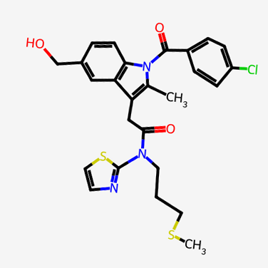 CSCCCN(C(=O)Cc1c(C)n(C(=O)c2ccc(Cl)cc2)c2ccc(CO)cc12)c1nccs1